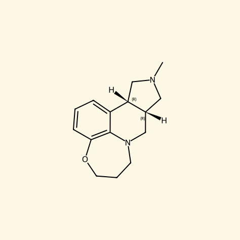 CN1C[C@@H]2CN3CCCOc4cccc(c43)[C@@H]2C1